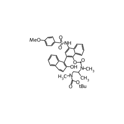 COc1ccc(S(=O)(=O)Nc2cc(-c3c(O)ccc4ccccc34)c(OC(=O)N(C)C(C)CN(C)C(=O)OC(C)(C)C)c3ccccc23)cc1